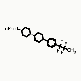 CCCCC[C@H]1CC[C@H](C2CCC(c3ccc(C(F)(F)C(C)(F)F)cc3)CC2)CC1